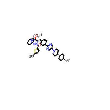 CCC[C@H]1CC[C@H](C2=CCN(c3cnc(-c4ccc(C[C@H](NC(=O)c5ccc(C(C)(C)C)s5)C(=O)N5C6CCC5[C@@H](C(=O)O)C6)cc4)nc3)CC2)CC1